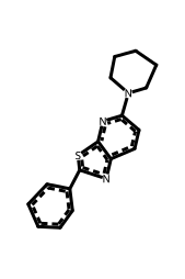 c1ccc(-c2nc3ccc(N4CCCCC4)nc3s2)cc1